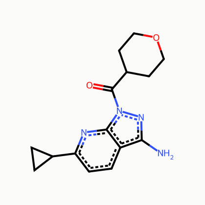 Nc1nn(C(=O)C2CCOCC2)c2nc(C3CC3)ccc12